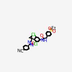 CCS(=O)(=O)c1ccc(CC(=O)Nc2cc(Cl)c(C3(c4nc(-c5ccc(C#N)cc5)no4)CC3)c(Cl)c2)cc1